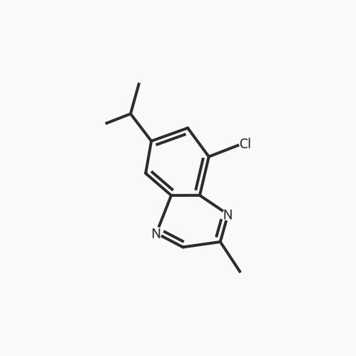 Cc1cnc2cc(C(C)C)cc(Cl)c2n1